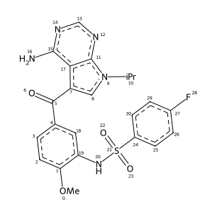 COc1ccc(C(=O)c2cn(C(C)C)c3ncnc(N)c23)cc1NS(=O)(=O)c1ccc(F)cc1